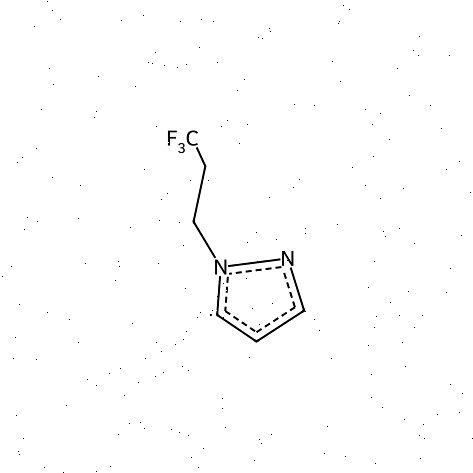 FC(F)(F)CCn1[c]ccn1